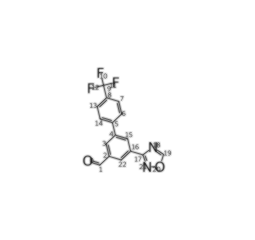 O=Cc1cc(-c2ccc(C(F)(F)F)cc2)cc(-c2ncon2)c1